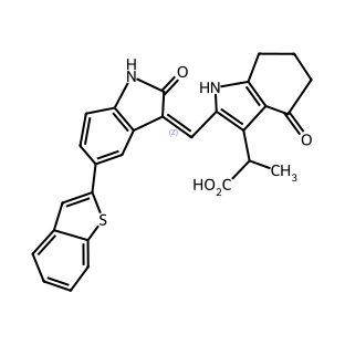 CC(C(=O)O)c1c(/C=C2\C(=O)Nc3ccc(-c4cc5ccccc5s4)cc32)[nH]c2c1C(=O)CCC2